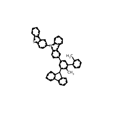 Cc1ccccc1-c1cc(-c2ccc3c(c2)c2ccccc2n3-c2ccc3sc4ccccc4c3c2)cc(C2c3ccccc3-c3ccccc32)c1C